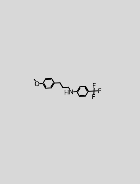 COc1ccc(CCCNc2ccc(C(F)(F)F)cc2)cc1